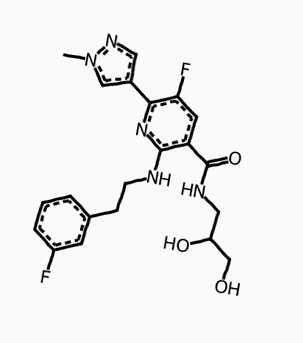 Cn1cc(-c2nc(NCCc3cccc(F)c3)c(C(=O)NCC(O)CO)cc2F)cn1